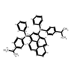 CC(C)c1ccc(N(c2ccccc2)c2cc(N(c3ccccc3)c3ccc(C(C)C)cc3)c3ccc4cccc5ccc2c3c54)cc1